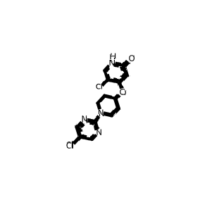 O=c1cc(OC2CCN(c3ncc(Cl)cn3)CC2)c(Cl)c[nH]1